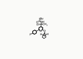 CCC(C)(N[S+]([O-])C(C)(C)C)c1cc(O[C@H]2[C@@H]3CCC[C@@H]32)nc(-c2ccc(F)cc2)c1